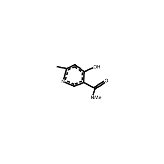 CNC(=O)c1cnc(I)cc1O